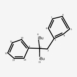 CCC(C)C(Cc1ccccc1)(c1ccccc1)C(C)CC